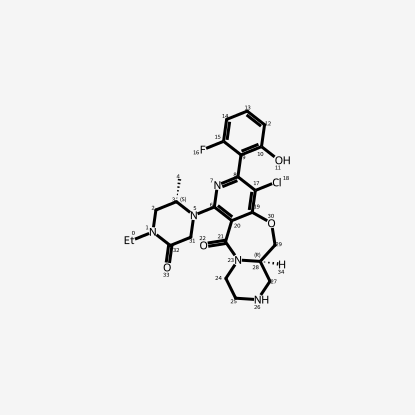 CCN1C[C@H](C)N(c2nc(-c3c(O)cccc3F)c(Cl)c3c2C(=O)N2CCNC[C@@H]2CO3)CC1=O